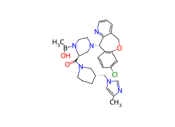 CB(O)N1CCN([C@H]2c3ccc(Cl)cc3OCc3cccnc32)C[C@H]1C(=O)N1CCC[C@@H](Cn2cnc(C)c2)C1